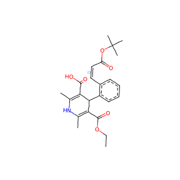 CCOC(=O)C1=C(C)NC(C)=C(C(=O)O)C1c1ccccc1/C=C\C(=O)OC(C)(C)C